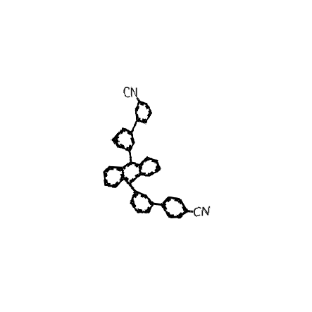 [C-]#[N+]c1cccc(-c2cccc(-c3c4ccccc4c(-c4cccc(-c5ccc(C#N)cc5)c4)c4ccccc34)c2)c1